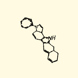 C1=CC2=Cc3c([nH]c4c3C=CC3C4C=CN3c3ccccc3)CC2CC1